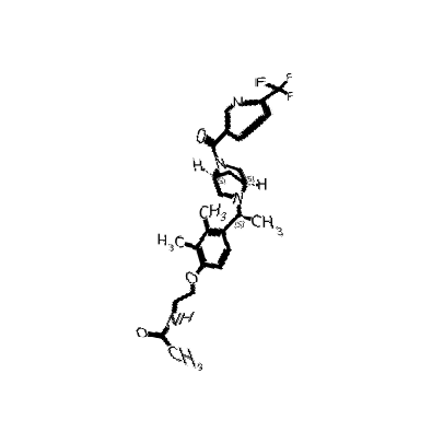 CC(=O)NCCOc1ccc([C@H](C)N2C[C@@H]3C[C@H]2CN3C(=O)c2ccc(C(F)(F)F)nc2)c(C)c1C